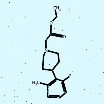 CCOC(=O)CN1CCC(c2c(C)cccc2F)CC1